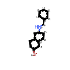 Brc1ccc2cc(NCc3ccccc3)ccc2c1